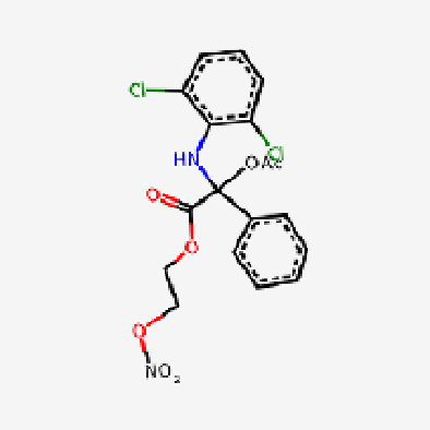 CC(=O)OC(Nc1c(Cl)cccc1Cl)(C(=O)OCCO[N+](=O)[O-])c1ccccc1